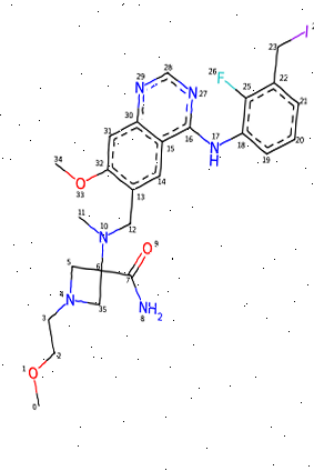 COCCN1CC(C(N)=O)(N(C)Cc2cc3c(Nc4cccc(CI)c4F)ncnc3cc2OC)C1